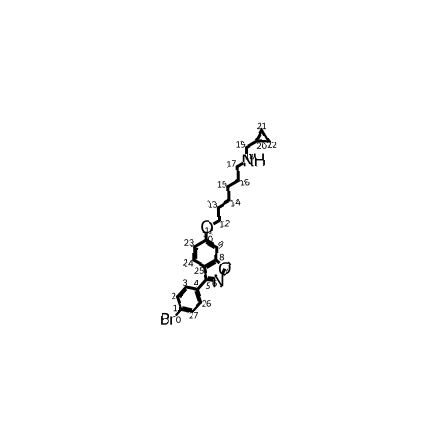 Brc1ccc(-c2noc3cc(OCCCCCCNCC4CC4)ccc23)cc1